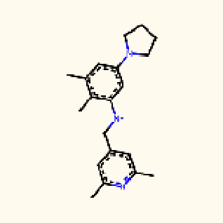 Cc1cc(CNc2cc(N3CCCC3)cc(C)c2C)cc(C)n1